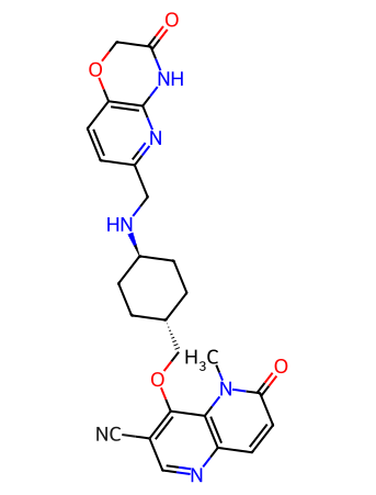 Cn1c(=O)ccc2ncc(C#N)c(OC[C@H]3CC[C@H](NCc4ccc5c(n4)NC(=O)CO5)CC3)c21